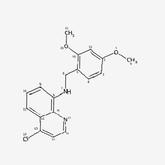 COc1ccc(CNc2cccc3c(Cl)ccnc23)c(OC)c1